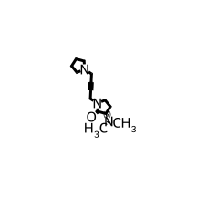 CN(C)[C@H]1CCN(CC#CCN2CCCC2)C1=O